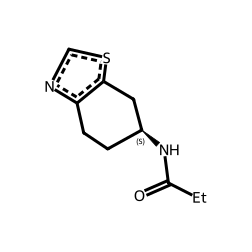 CCC(=O)N[C@H]1CCc2ncsc2C1